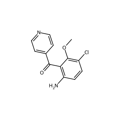 COc1c(Cl)ccc(N)c1C(=O)c1ccncc1